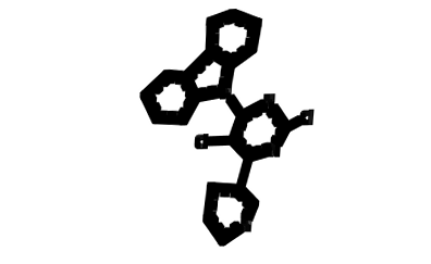 Clc1nc(-c2cccnc2)c(Cl)c(-n2c3ccccc3c3ccccc32)n1